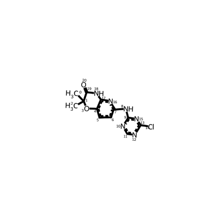 CC1(C)Oc2ccc(Nc3ncnc(Cl)n3)nc2NC1=O